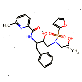 Cc1cccc(C(=O)NC(Cc2ccccc2)C(O)CN(C[C@@H](C)O)S(=O)(=O)c2ccco2)n1